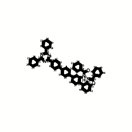 O=C(Nc1cc(-c2ccc(-c3ccc(-c4nc(-c5ccccc5)nc(-c5ccccc5)n4)cc3)cc2)ccc1-c1cccc2oc(-c3ccccc3)nc12)c1ccccc1